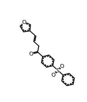 O=C(CC=Cc1ccoc1)c1ccc(S(=O)(=O)c2ccccc2)cc1